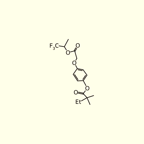 CCC(C)(C)C(=O)Oc1ccc(OCC(=O)OC(C)C(F)(F)F)cc1